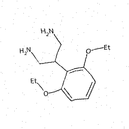 CCOc1cccc(OCC)c1C(CN)CN